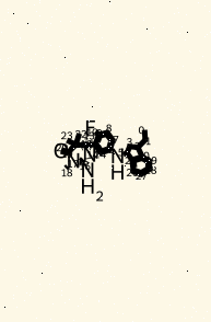 CCC1CC(Nc2ccc(F)c([C@@]3(C)N=C(N)N(C)C(=O)C3(C)C)c2)c2ccccc21